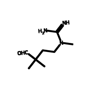 CN(CCC(C)(C)C=O)C(=N)N